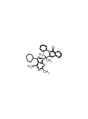 Cc1nc(N)c2c(C3CCCCC3)nn(C(C)(C)c3cc4ccccc4c(=O)n3-c3ccccc3)c2n1